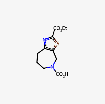 CCOC(=O)c1nc2c(s1)CN(C(=O)O)CCC2